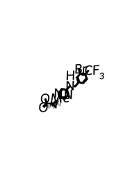 COC(=O)[C@@H]1C[C@H]1c1cnc(NCc2ccc(C(F)(F)F)c(Br)c2)cn1